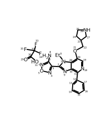 CCn1c(-c2nonc2N)nc2c(-c3ccccc3)ncc(OCC3CCNC3)c21.O=C(O)C(F)(F)F